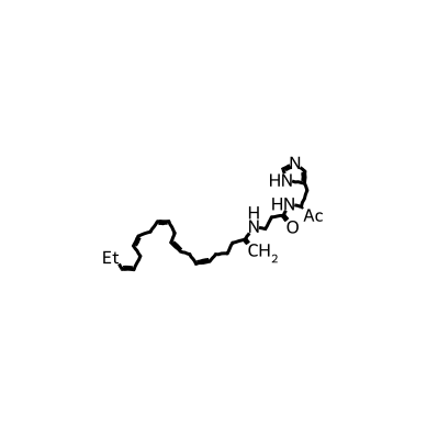 C=C(CCC/C=C\C/C=C\C/C=C\C/C=C\C/C=C\CC)NCCC(=O)N[C@@H](Cc1cnc[nH]1)C(C)=O